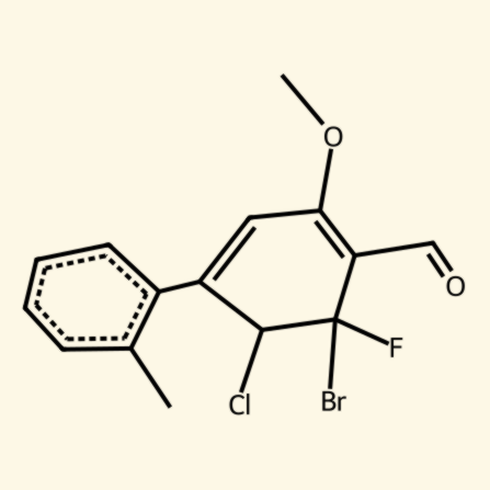 COC1=C(C=O)C(F)(Br)C(Cl)C(c2ccccc2C)=C1